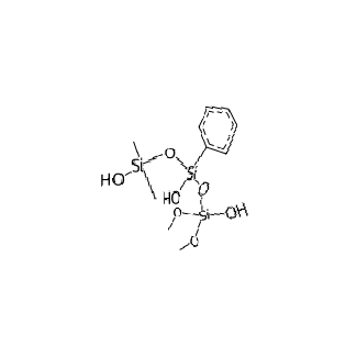 CO[Si](O)(OC)O[Si](O)(O[Si](C)(C)O)c1ccccc1